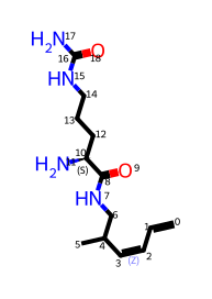 C=C/C=C\C(C)CNC(=O)[C@@H](N)CCCNC(N)=O